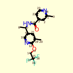 Cc1cc(C(=O)NC(C)c2cnc(OCC(F)(F)F)c(C)c2)ccn1